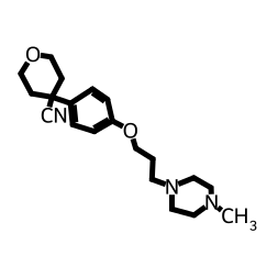 CN1CCN(CCCOc2ccc(C3(C#N)CCOCC3)cc2)CC1